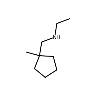 CCNCC1(C)CCCC1